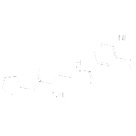 COc1cc(C(=O)NCC[C@H](N)C(=O)OC2CCCC2)ccc1N